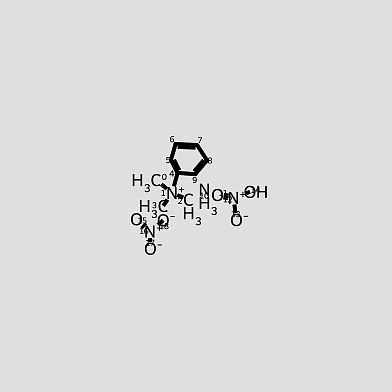 C[N+](C)(C)c1ccccc1.N.O=[N+]([O-])O.O=[N+]([O-])[O-]